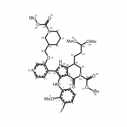 COc1c(F)cccc1Nc1c(-c2ccncc2OCC2CCCN(C(=O)OC(C)(C)C)C2)[nH]c2c1C(=O)N(C(=O)OC(C)(C)C)CC2CCC(OC)OC